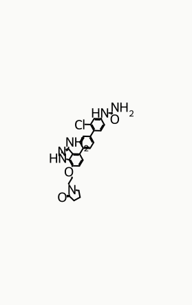 NC(=O)Nc1ccc(-c2ccc(-c3ccc(OCCN4CCCC4=O)c4[nH]nc(N)c34)cc2)c(Cl)c1